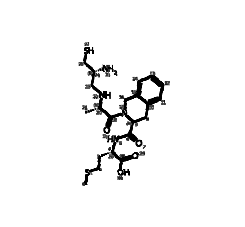 CSCC[C@H](NC(=O)[C@@H]1Cc2ccccc2CN1C(=O)[C@H](C)NC[C@@H](N)CS)C(=O)O